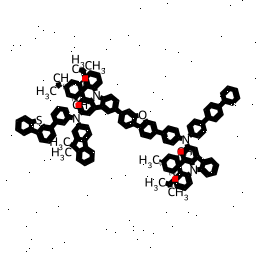 CC(C)C[C@@H]1C[C@@H](C)C[C@H](C)C12c1ccccc1-n1c3ccccc3c3cc(N(c4ccc(-c5ccc(-c6ccccc6)cc5)cc4)c4ccc(-c5ccc6c(c5)oc5cc(-c7ccc8c(c7)c7cc(N(c9cccc(-c%10cccc%11c%10sc%10ccccc%10%11)c9)c9ccc%10c(c9)C(C)(C)c9ccccc9-%10)cc9c7n8-c7ccccc7C97[C@H](CC(C)C)C[C@@H](C(C)C)C[C@@H]7C)ccc56)cc4)cc2c31